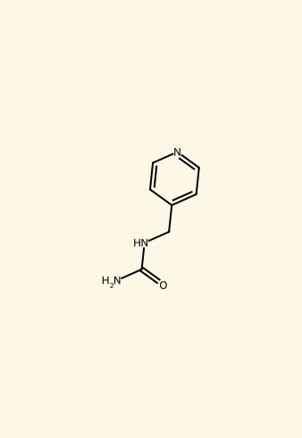 NC(=O)NCc1ccncc1